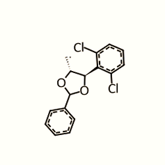 [CH2][C@H]1OC(c2ccccc2)O[C@@H]1c1c(Cl)cccc1Cl